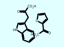 O=C(O)C(=O)Cc1c[nH]c2ccccc12.O=C(O)C(=O)c1ccco1